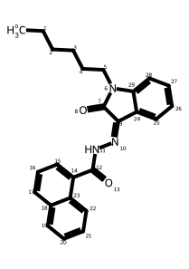 CCCCCCN1C(=O)C(=NNC(=O)c2cccc3ccccc23)c2ccccc21